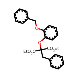 CCOC(=O)C(Cc1ccccc1)(Oc1ccccc1OCc1ccccc1)C(=O)OCC